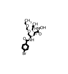 C#CC[C@@H](C[C@@H](COCOCC)NC(=O)c1ccc(Br)cc1)C(=O)NO